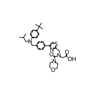 CC(C)CN(Cc1ccc(-c2csc(CN(CC(=O)O)C(=O)N3CCOCC3)n2)cc1)c1ccc(C(C)(C)C)cc1